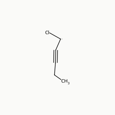 CCC#C[CH]Cl